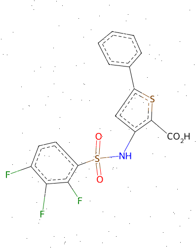 O=C(O)c1sc(-c2ccccc2)cc1NS(=O)(=O)c1ccc(F)c(F)c1F